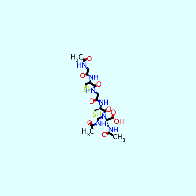 CC(=O)NCC(=O)NC(CS)C(=O)NCC(=O)N[C@H](CS)C(=O)N(CNC(C)=O)[C@@H](CNC(C)=O)C(=O)O